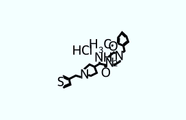 COc1ccccc1CN1CCN(C(=O)C(N)C2CCN(CCc3ccsc3)CC2)CC1.Cl